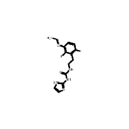 CCOc1ccc(F)c(CCNC(=S)Nc2ncc[nH]2)c1F